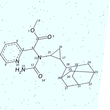 COC(=O)C(c1ccccn1)N(C(N)=O)C1CC1C1C2CC3CC(C2)CC1C3